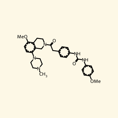 COc1ccc(NC(=O)Nc2ccc(CC(=O)N3CCc4c(OC)ccc(N5CCN(C)CC5)c4C3)cc2)cc1